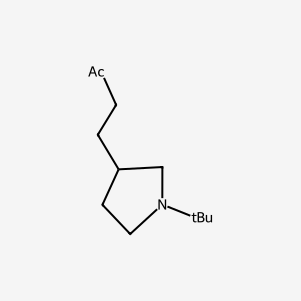 CC(=O)CCC1CCN(C(C)(C)C)C1